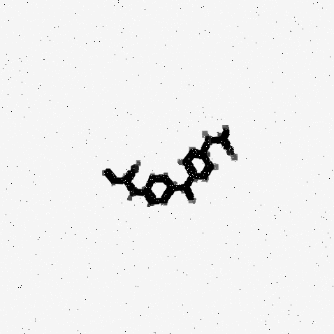 CCC(=O)Oc1ccc(C(C)c2ccc(OC(C)=O)cc2)cc1